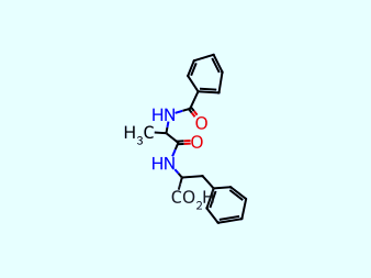 CC(NC(=O)c1ccccc1)C(=O)NC(Cc1ccccc1)C(=O)O